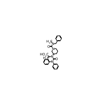 C[C@@H](C(=O)O)N(C(=O)N(c1ccccc1)c1ccccc1)[C@@H]1CCCN(C(=O)N(C)Cc2ccccc2)C1